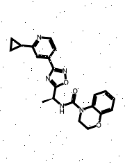 C[C@H](NC(=O)N1CCOc2ccccc21)c1nc(-c2ccnc(C3CC3)c2)no1